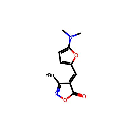 CN(C)c1ccc(C=C2C(=O)ON=C2C(C)(C)C)o1